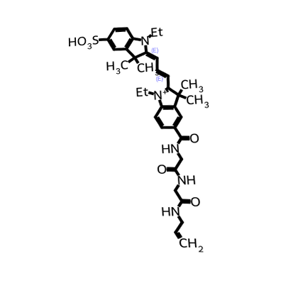 C=CCNC(=O)CNC(=O)CNC(=O)c1ccc2c(c1)C(C)(C)C(/C=C/C=C1/N(CC)c3ccc(S(=O)(=O)O)cc3C1(C)C)=[N+]2CC